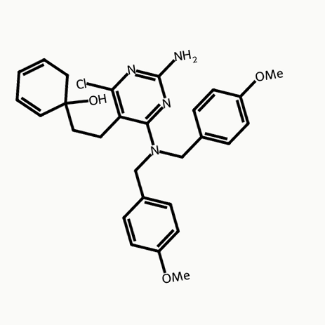 COc1ccc(CN(Cc2ccc(OC)cc2)c2nc(N)nc(Cl)c2CCC2(O)C=CC=CC2)cc1